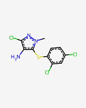 Cn1nc(Cl)c(N)c1Sc1ccc(Cl)cc1Cl